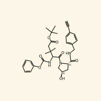 C#Cc1ccc(CNC(=O)[C@@H]2C[C@@H](O)CN2C(=O)C(NC(=O)Oc2ccccc2)C(C)(C)CC(=O)OC(C)(C)C)cc1